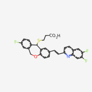 O=C(O)CCSC1c2ccc(F)cc2COc2ccc(/C=C/c3ccc4cc(F)c(F)cc4n3)cc21